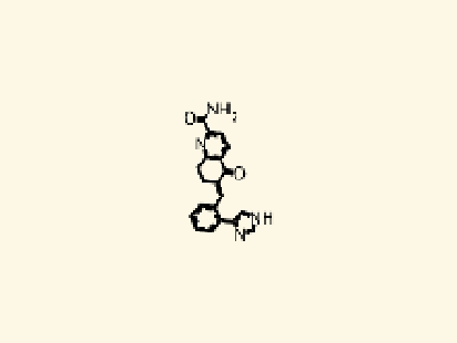 NC(=O)c1ccc2c(n1)CC/C(=C\c1ccccc1-c1c[nH]cn1)C2=O